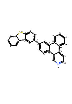 c1ccc2c(c1)sc1ccc(-c3ccc4c5cnccc5c5ccccc5c4c3)cc12